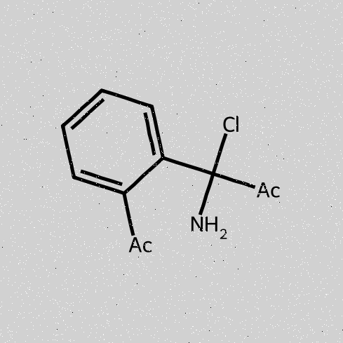 CC(=O)c1ccccc1C(N)(Cl)C(C)=O